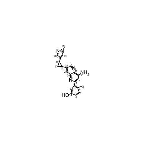 Cc1ccc(O)cc1-c1cc(N)c2ncc(C3CC3c3cnn(C)c3)cc2n1